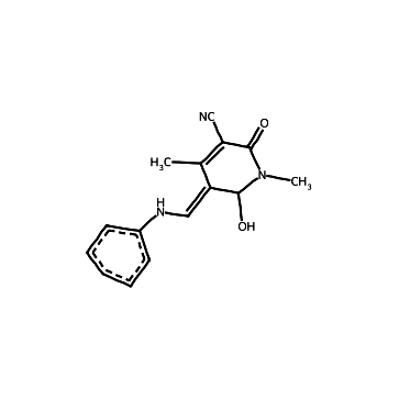 CC1=C(C#N)C(=O)N(C)C(O)C1=CNc1ccccc1